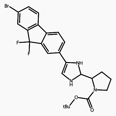 CC(C)(C)OC(=O)N1CCCC1C1NC=C(c2ccc3c(c2)C(F)(F)c2cc(Br)ccc2-3)N1